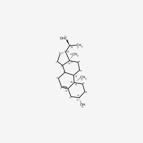 C[C@H](C=O)[C@H]1CCC2C3CC=C4C[C@@H](O)CC[C@]4(C)C3CC[C@@]21C